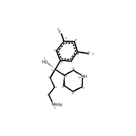 CC(=O)NCCC[C@@](O)(c1cc(F)cc(F)c1)[C@@H]1CCCNC1